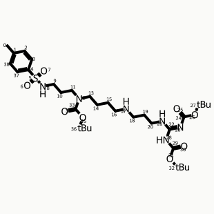 Cc1ccc(S(=O)(=O)NCCCN(CCCCNCCCN/C(=N\C(=O)OC(C)(C)C)NC(=O)OC(C)(C)C)C(=O)OC(C)(C)C)cc1